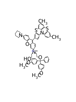 COc1ccc(C(OCC/[N+](CCO)=c2\ccc3c(-c4ccc5c(c4)Sc4cc(C)cc6c4N5c4ccc(C)cc4S6)c4ccc(N5CCCCC5)cc4oc-3c2)(c2ccccc2)c2ccc(OC)cc2)cc1